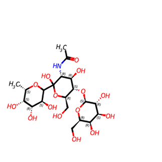 CC(=O)N[C@@H]1[C@@H](O)[C@H](O[C@@H]2O[C@H](CO)[C@H](O)[C@H](O)[C@H]2O)[C@@H](CO)OC1(O)C1O[C@@H](C)[C@@H](O)[C@@H](O)[C@@H]1O